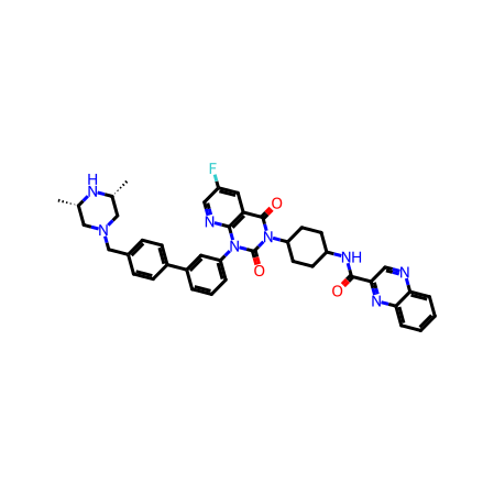 C[C@@H]1CN(Cc2ccc(-c3cccc(-n4c(=O)n(C5CCC(NC(=O)c6cnc7ccccc7n6)CC5)c(=O)c5cc(F)cnc54)c3)cc2)C[C@H](C)N1